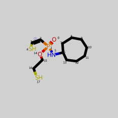 O=P(/C=C\S)(NC1CCCCCCC1)OCCS